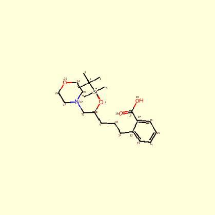 CC(C)(C)[Si](C)(C)OC(CCCc1ccccc1C(=O)O)CN1CCOCC1